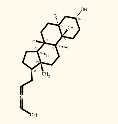 C[C@]12CC[C@@H](O)C[C@@H]1CC[C@@H]1[C@@H]2CC[C@]2(C)[C@@H](CC=C=CO)CC[C@@H]12